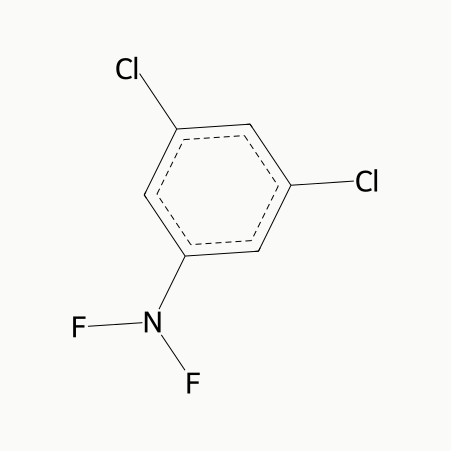 FN(F)c1cc(Cl)cc(Cl)c1